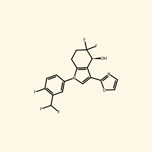 O[C@H]1c2c(-c3ncco3)cn(-c3ccc(F)c(C(F)F)c3)c2CCC1(F)F